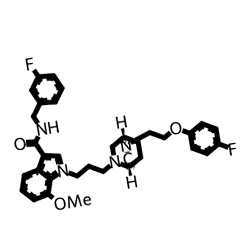 COc1cccc2c(C(=O)NCc3cccc(F)c3)cn(CCCN3C[C@@H]4CC[C@H]3CN4CCOc3ccc(F)cc3)c12